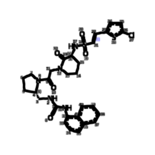 O=C(NC[C@@H]1CCCN1C(=O)CN1CCC[C@H](NS(=O)(=O)/C=C/c2ccc(Cl)s2)C1=O)Nc1cccc2ccccc12